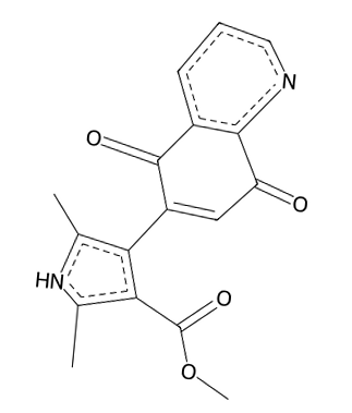 COC(=O)c1c(C)[nH]c(C)c1C1=CC(=O)c2ncccc2C1=O